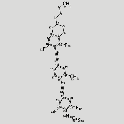 CCCCC1CCc2c(cc(F)c(C#Cc3ccc(C#Cc4cc(F)c(N=C=S)c(F)c4)c(C)c3)c2F)C1